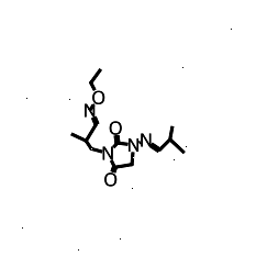 CCO/N=C/C(C)CN1C(=O)CN(/N=C/C(C)C)C1=O